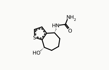 NC(=O)N[C@@H]1CCC[C@H](O)c2sccc21